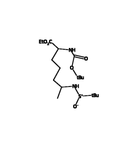 CCOC(=O)C(CCCC(C)N[S+]([O-])C(C)(C)C)NC(=O)OC(C)(C)C